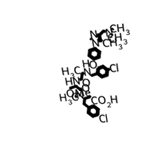 COCC(NC(=O)C(C)NCc1ccc(Cl)cc1Oc1ccc(-n2cnc(CN(C)C)c2C)cc1)C(=O)N(C)C(CC(=O)O)Cc1ccc(Cl)cc1